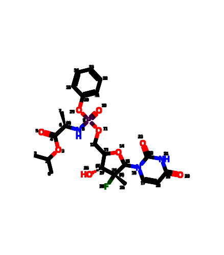 CC(C)OC(=O)[C@@H](C)NP(=O)(OCC1OC(n2ccc(=O)[nH]c2=O)[C@](C)(F)[C@@H]1O)Oc1ccccc1